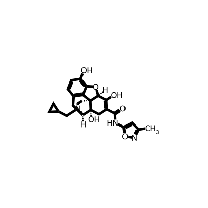 Cc1cc(NC(=O)C2=C(O)[C@@H]3Oc4c(O)ccc5c4[C@@]34CCN(CC3CC3)[C@H](C5)[C@]4(O)C2)on1